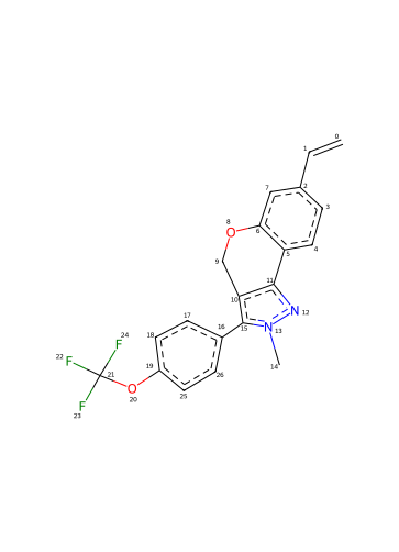 C=Cc1ccc2c(c1)OCc1c-2nn(C)c1-c1ccc(OC(F)(F)F)cc1